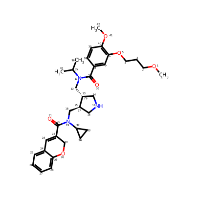 COCCCOc1cc(C(=O)N(C[C@@H]2CNC[C@H]2CN(C(=O)C2=Cc3ccccc3OC2)C2CC2)C(C)C)ccc1OC